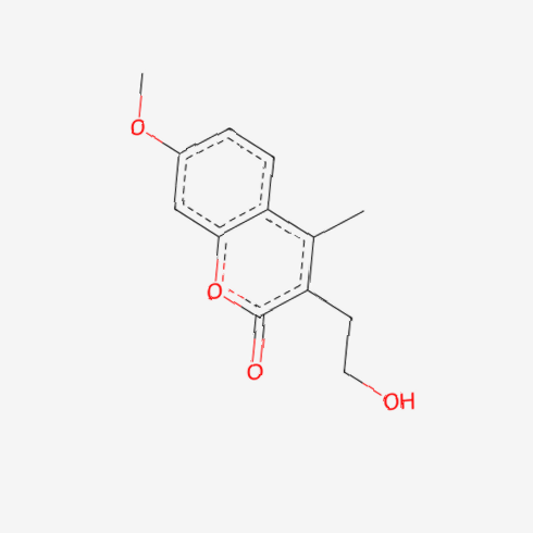 COc1ccc2c(C)c(CCO)c(=O)oc2c1